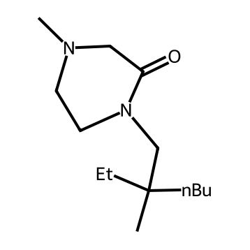 CCCCC(C)(CC)CN1CCN(C)CC1=O